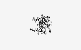 CC1(C)CC(NC(=O)OCCN2CC2)CC(C)(Cn2c(=O)n(C[C@]3(C)C[C@H](NC(=O)OCCN4CC4)CC(C)(C)C3)c(=O)n(C[C@]3(C)C[C@@H](NC(=O)OCCN4CC4)CC(C)(C)C3)c2=O)C1